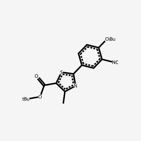 [C-]#[N+]c1cc(-c2nc(C)c(C(=O)OC(C)(C)C)s2)ccc1OCC(C)C